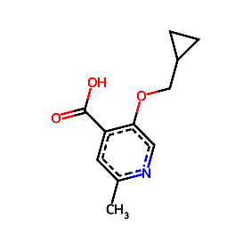 Cc1cc(C(=O)O)c(OCC2CC2)cn1